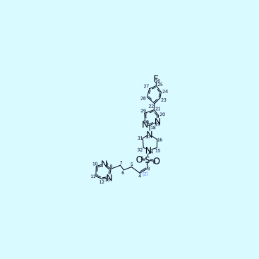 O=S(=O)(/C=C\CCCc1ncccn1)N1CCN(c2ncc(-c3ccc(F)cc3)cn2)CC1